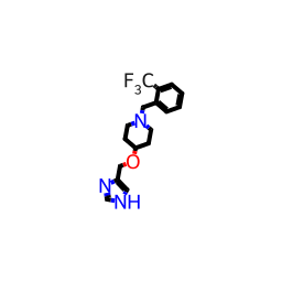 FC(F)(F)c1ccccc1CN1CCC(OCc2c[nH]cn2)CC1